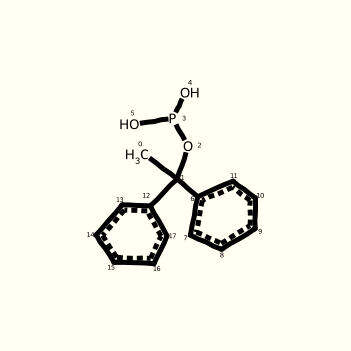 CC(OP(O)O)(c1ccccc1)c1ccccc1